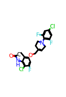 O=C1CCc2c(OCC3=CCN(c4c(F)cc(Cl)cc4F)CC3)cc(F)c(Cl)c2N1